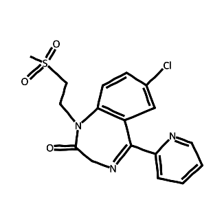 CS(=O)(=O)CCN1C(=O)CN=C(c2ccccn2)c2cc(Cl)ccc21